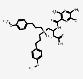 COc1ccc(CCC[N+](C)(CCCc2ccc(OC)cc2)CC(CC(=O)O)NC(=O)c2nc(Cl)c(N)nc2N)cc1